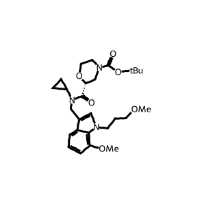 COCCCn1cc(CN(C(=O)[C@H]2CN(C(=O)OC(C)(C)C)CCO2)C2CC2)c2cccc(OC)c21